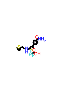 NC(=O)c1ccc(-c2csc(CNCCc3cccs3)c2)cc1.O=C(O)C(F)(F)F